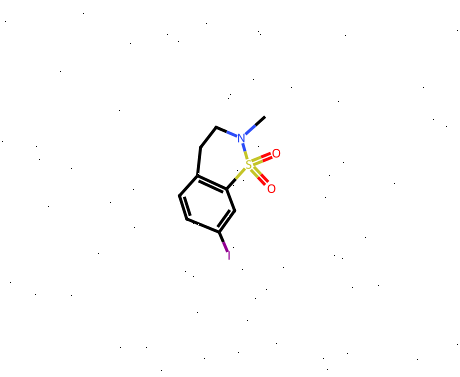 CN1CCc2ccc(I)cc2S1(=O)=O